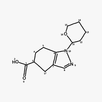 O=C(O)C1CCc2c(cnn2C2CCCCO2)C1